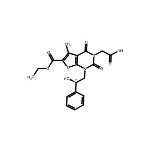 CCOC(=O)c1sc2c(c1C)c(=O)n(CC(=O)O)c(=O)n2C[C@H](O)c1ccccc1